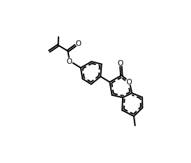 C=C(C)C(=O)Oc1ccc(-c2cc3cc(C)ccc3oc2=O)cc1